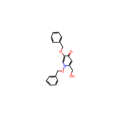 O=c1cc(CO)n(OCc2ccccc2)cc1OCc1ccccc1